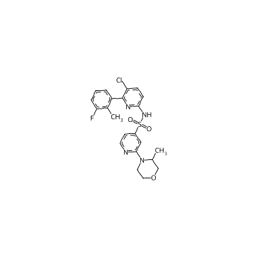 Cc1c(F)cccc1-c1nc(NS(=O)(=O)c2ccnc(N3CCOCC3C)c2)ccc1Cl